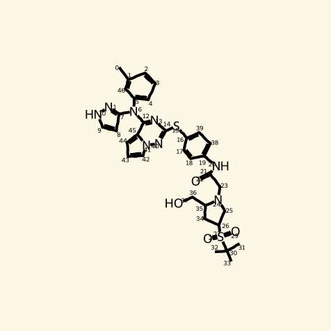 Cc1cccc(N(c2cc[nH]n2)c2nc(Sc3ccc(NC(=O)CN4CC(S(=O)(=O)C(C)(C)C)CC4CO)cc3)nn3cccc23)c1